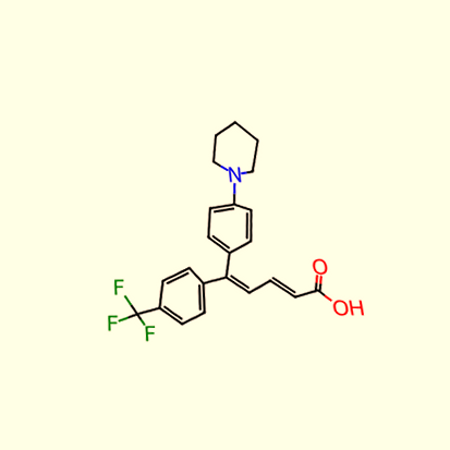 O=C(O)/C=C/C=C(\c1ccc(N2CCCCC2)cc1)c1ccc(C(F)(F)F)cc1